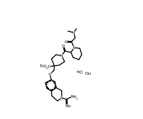 CCOC(=O)C1(COc2ccc3c(c2)CN(C(=N)N)CC3)CCN(C(=O)C2CCCCN2C(=O)CN(C)C)CC1.Cl.Cl